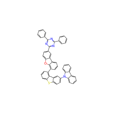 c1ccc(-c2nc(-c3ccccc3)nc(-c3ccc4oc5c(-c6cccc7sc8ccc(-n9c%10ccccc%10c%10ccccc%109)cc8c67)cccc5c4c3)n2)cc1